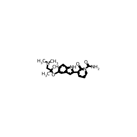 CN(C)CC(C)(C)Oc1ccc2[nH]c(-c3c[c]cn(C(N)=O)c3=O)cc2c1